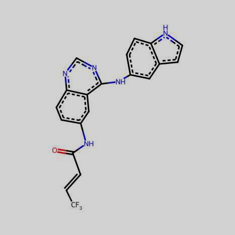 O=C(C=CC(F)(F)F)Nc1ccc2ncnc(Nc3ccc4[nH]ccc4c3)c2c1